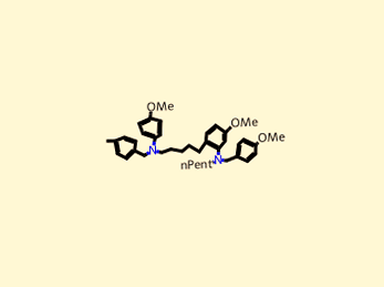 CCCCCN(Cc1ccc(OC)cc1)c1cc(OC)ccc1CCCCCN(Cc1ccc(C)cc1)c1ccc(OC)cc1